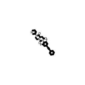 O=C1C2CC(=O)N(c3c(F)cc(C#Cc4ccccc4)cc3F)C(=O)N2CCN1c1cccnc1